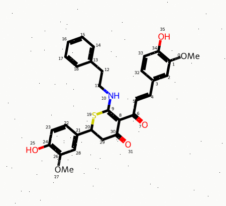 COc1cc(C=CC(=O)C2=C(NCCc3ccccc3)SC(c3ccc(O)c(OC)c3)CC2=O)ccc1O